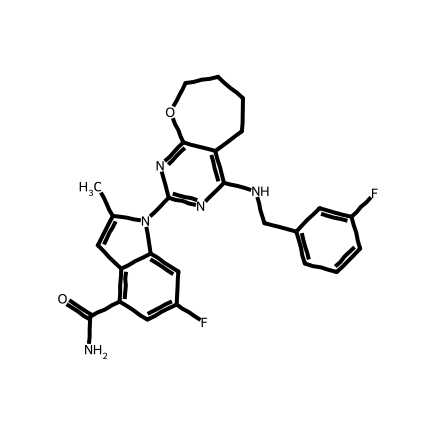 Cc1cc2c(C(N)=O)cc(F)cc2n1-c1nc(NCc2cccc(F)c2)c2c(n1)OCCCC2